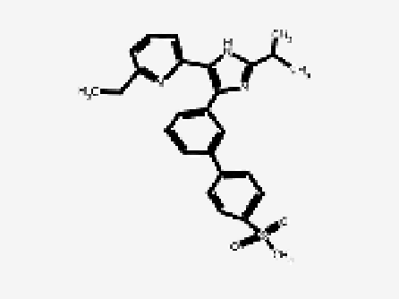 CCc1cccc(-c2[nH]c(C(C)C)nc2-c2cccc(-c3ccc(S(C)(=O)=O)cc3)c2)n1